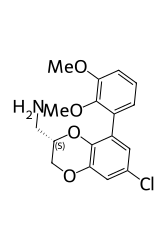 COc1cccc(-c2cc(Cl)cc3c2O[C@@H](CN)CO3)c1OC